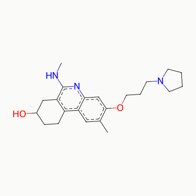 CNc1nc2cc(OCCCN3CCCC3)c(C)cc2c2c1CC(O)CC2